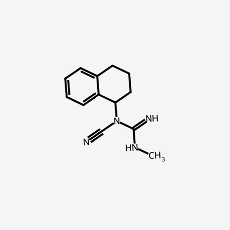 CNC(=N)N(C#N)C1CCCc2ccccc21